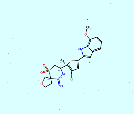 COc1cccc2cc(-c3cc(Cl)c([C@]4(C)CS(=O)(=O)[C@]5(CCOC5)C(=N)N4)s3)[nH]c12